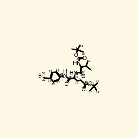 CC(C)C(NC(=O)OC(C)(C)C)C(=O)NC(CCC(=O)OC(C)(C)C)C(=O)Nc1ccc(CBr)cc1